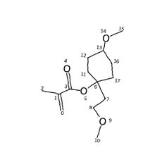 C=C(C)C(=O)OC1(CCOC)CCC(OC)CC1